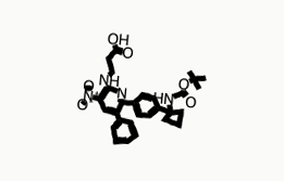 CC(C)(C)OC(=O)NC1(c2ccc(-c3nc(NCCC(=O)O)c([N+](=O)[O-])cc3-c3ccccc3)cc2)CCC1